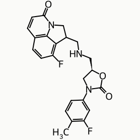 Cc1ccc(N2C[C@@H](CNCC3Cn4c(=O)ccc5ccc(F)c3c54)OC2=O)cc1F